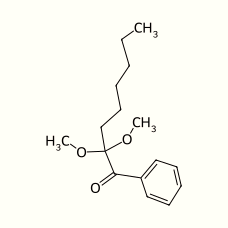 CCCCCCC(OC)(OC)C(=O)c1ccccc1